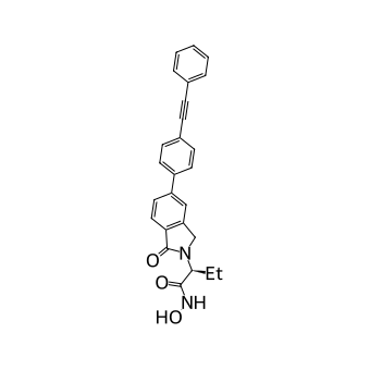 CC[C@@H](C(=O)NO)N1Cc2cc(-c3ccc(C#Cc4ccccc4)cc3)ccc2C1=O